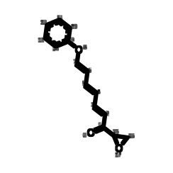 O=C(C=CC=CC=COc1ccccc1)C1CO1